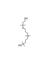 CC(C)(O)CCC[Si](C)(C)CCCOC(C)(C)CCO